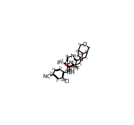 CC(C)c1noc(CN2CC3COCC(C2)C3Oc2ncnc(Nc3ccc(C#N)cc3Cl)c2F)n1